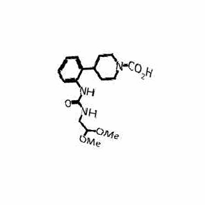 COC(CNC(=O)Nc1ccccc1C1CCN(C(=O)O)CC1)OC